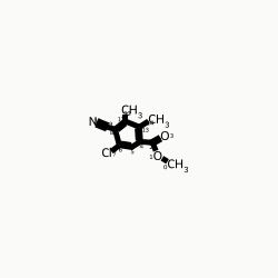 COC(=O)c1cc(Cl)c(C#N)c(C)c1C